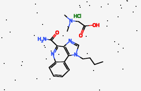 CCCCn1cnc2c(C(N)=O)nc3ccccc3c21.CN(C)CC(=O)O.Cl